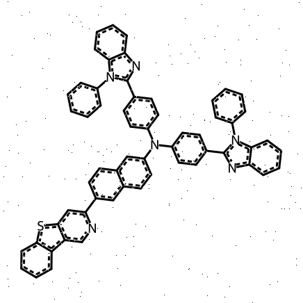 c1ccc(-n2c(-c3ccc(N(c4ccc(-c5nc6ccccc6n5-c5ccccc5)cc4)c4ccc5cc(-c6cc7sc8ccccc8c7cn6)ccc5c4)cc3)nc3ccccc32)cc1